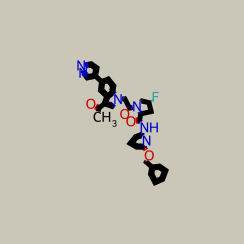 CC(=O)c1cn(CC(=O)N2C[C@H](F)CC2C(=O)Nc2cccc(OCc3ccccc3)n2)c2ccc(-c3ccnnc3)cc12